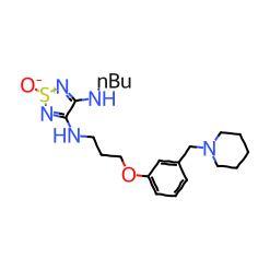 CCCCNc1n[s+]([O-])nc1NCCCOc1cccc(CN2CCCCC2)c1